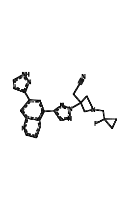 N#CCC1(n2ncc(-c3cc(-c4cc[nH]n4)cc4ncccc34)n2)CN(CC2(F)CC2)C1